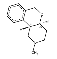 CN1CC[C@@H]2OCc3ccccc3[C@H]2C1